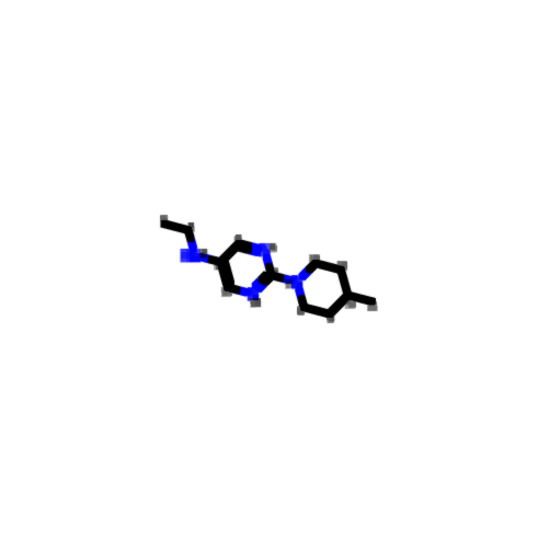 CCNc1cnc(N2CCC(C)CC2)nc1